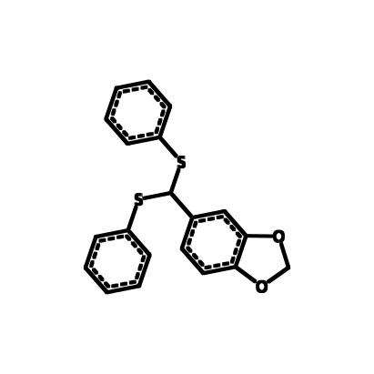 c1ccc(SC(Sc2ccccc2)c2ccc3c(c2)OCO3)cc1